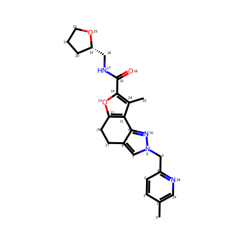 Cc1ccc(Cn2cc3c(n2)-c2c(oc(C(=O)NC[C@@H]4CCCO4)c2C)CC3)nc1